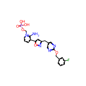 Nc1c(-c2cc(Cc3cnc(OCc4cccc(F)c4)nc3)no2)ccc[n+]1COP(=O)(O)O